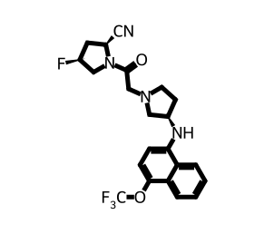 N#C[C@@H]1C[C@H](F)CN1C(=O)CN1CC[C@@H](Nc2ccc(OC(F)(F)F)c3ccccc23)C1